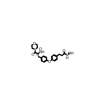 O=C(CCc1ccc(Oc2ccc(C[C@H](NCl)C(=O)N3CCOCC3)cc2)cc1)NO